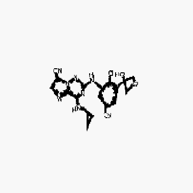 N#Cc1cc(Nc2nc(NC3CC3)c3ncc(C#N)n3n2)c(Cl)c(C2(O)COC2)c1